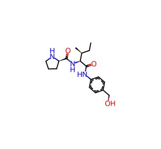 CC[C@H](C)[C@H](NC(=O)[C@H]1CCCN1)C(=O)Nc1ccc(CO)cc1